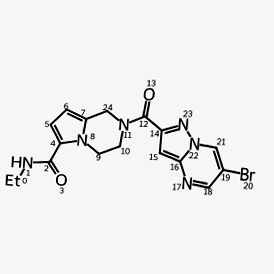 CCNC(=O)c1ccc2n1CCN(C(=O)c1cc3ncc(Br)cn3n1)C2